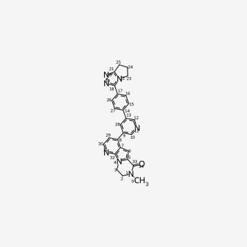 CN1CCn2c(cc3c(-c4cncc(-c5ccc(-c6nnc7n6CCC7)cc5)c4)ccnc32)C1=O